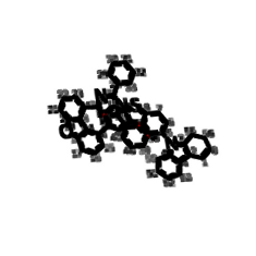 C1=Cc2c(n(-c3ccc4sc5ccc(-c6cccc7oc8cccc(-c9nc(-c%10ccccc%10)nc(-c%10ccccc%10)n9)c8c67)cc5c4c3)c3ccccc23)CC1